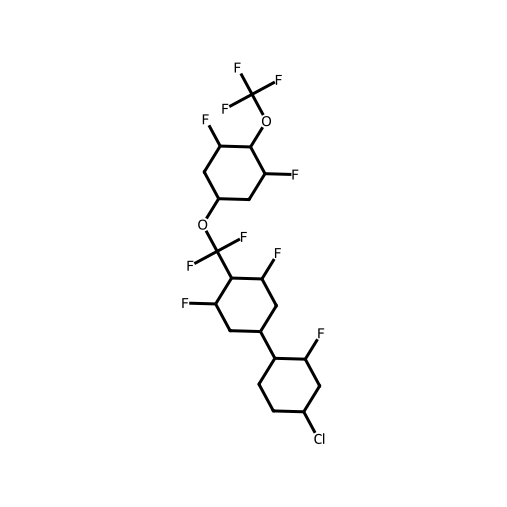 FC1CC(Cl)CCC1C1CC(F)C(C(F)(F)OC2CC(F)C(OC(F)(F)F)C(F)C2)C(F)C1